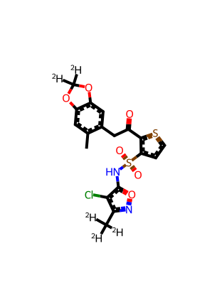 [2H]C1([2H])Oc2cc(C)c(CC(=O)c3sccc3S(=O)(=O)Nc3onc(C([2H])([2H])[2H])c3Cl)cc2O1